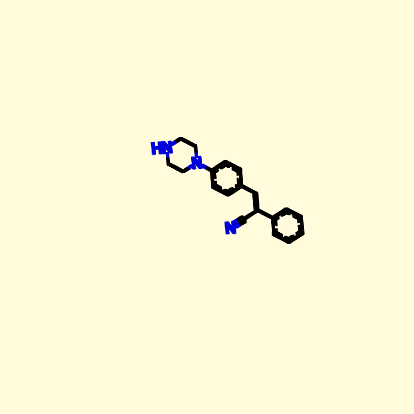 N#CC(=Cc1ccc(N2CCNCC2)cc1)c1ccccc1